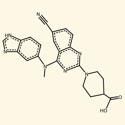 CN(c1ccc2[nH]cnc2c1)c1nc(N2CCC(C(=O)O)CC2)nc2ccc(C#N)cc12